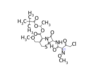 COCC1=C(C(=O)OC(C)OC(=O)C(C)(C)C)N2C(=O)C(NC(=O)/C(=N\OC)C(=O)CCl)[C@H]2SC1